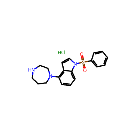 Cl.O=S(=O)(c1ccccc1)n1ccc2c(N3CCCNCC3)cccc21